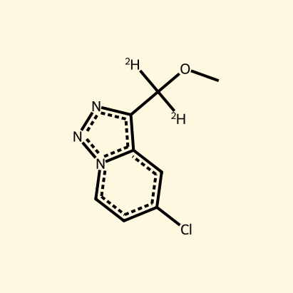 [2H]C([2H])(OC)c1nnn2ccc(Cl)cc12